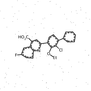 CCOc1c(-c2cc(C(=O)O)c3cc(F)ccc3n2)ccc(-c2ccccc2)c1Cl